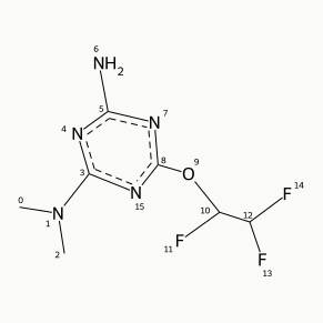 CN(C)c1nc(N)nc(OC(F)C(F)F)n1